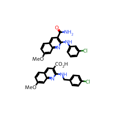 COc1ccc2cc(C(=O)O)c(NCc3ccc(Cl)cc3)nc2c1.COc1ccc2cc(C(N)=O)c(Nc3cccc(Cl)c3)nc2c1